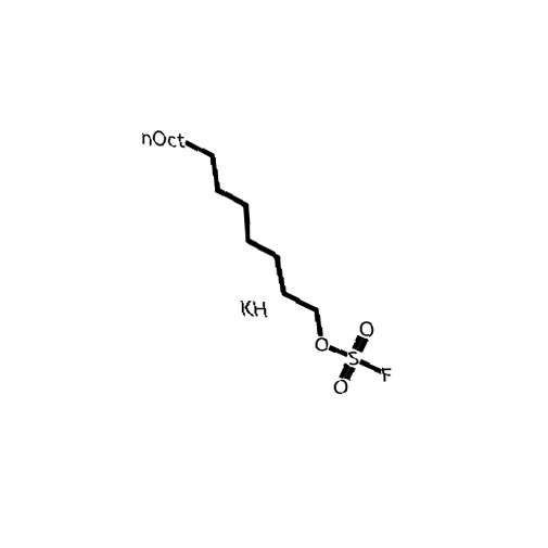 CCCCCCCCCCCCCCCOS(=O)(=O)F.[KH]